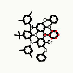 Cc1cc(C)cc(N2c3cc(C(C)(C)C)cc4c3B(c3c2cc(Oc2ccccc2)c(Br)c3Oc2ccccc2)c2c(cc3c5c2Oc2ccccc2B5c2ccccc2O3)N4c2cc(C)cc(C)c2)c1